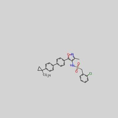 Cc1noc(-c2ccc(-c3ccc(C4(C(=O)O)CC4)cc3)cc2)c1NS(=O)(=O)Cc1ccccc1Cl